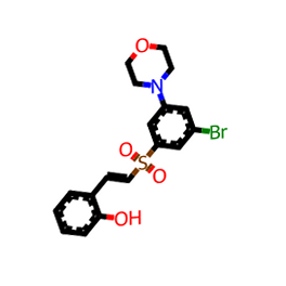 O=S(=O)(/C=C/c1ccccc1O)c1cc(Br)cc(N2CCOCC2)c1